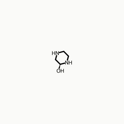 O[C@H]1CNCCN1